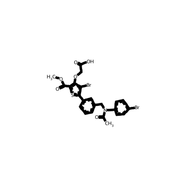 COC(=O)c1sc(-c2cccc(CN(C(C)=O)c3ccc(Br)cc3)c2)c(Br)c1OCC(=O)O